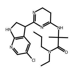 CCCN(CC)C(=O)C(C)(C)NC1=NC(C2CNc3ncc(Cl)cc32)=NCC1